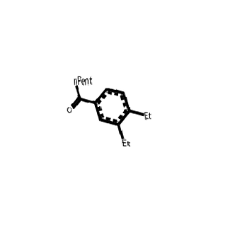 [CH2]CCCCC(=O)c1ccc(CC)c(CC)c1